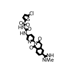 CNC(=N)c1ccc2c(c1)CC(=O)N(c1ccc(NC(=O)NS(=O)(=O)c3ccc(Cl)s3)cn1)C2=O